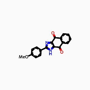 COc1ccc(-c2nc3c([nH]2)C(=O)c2ccccc2C3=O)cc1